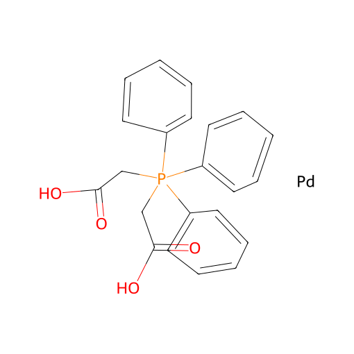 O=C(O)CP(CC(=O)O)(c1ccccc1)(c1ccccc1)c1ccccc1.[Pd]